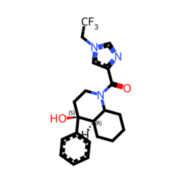 O=C(c1cn(CC(F)(F)F)cn1)N1CC[C@@](O)(c2ccccc2)[C@@H]2CCCCC21